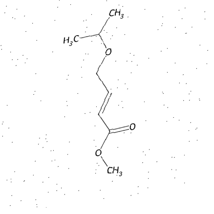 COC(=O)/C=C/COC(C)C